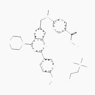 COc1ccc(-c2nc(N3CCOCC3)c3sc(CN(C)c4ncc(C(=O)NO)cn4)cc3n2)cn1.C[N+](C)(C)CCO